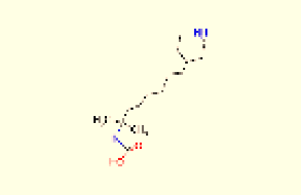 CC(C)(CCCCCCC1CCNCC1)NC(=O)O